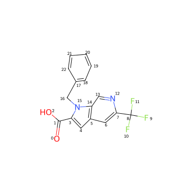 O=C(O)c1cc2cc(C(F)(F)F)ncc2n1Cc1ccccc1